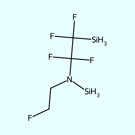 FCCN([SiH3])C(F)(F)C(F)(F)[SiH3]